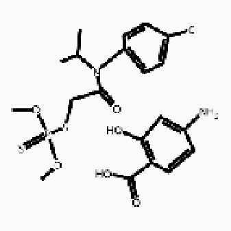 COP(=S)(OC)SCC(=O)N(c1ccc(Cl)cc1)C(C)C.Nc1ccc(C(=O)O)c(O)c1